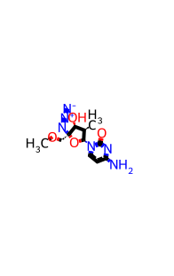 COC[C@@]1(N=[N+]=[N-])O[C@@H](n2ccc(N)nc2=O)[C@@H](C)[C@@H]1O